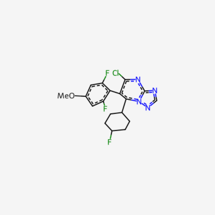 COc1cc(F)c(-c2c(Cl)nc3ncnn3c2C2CCC(F)CC2)c(F)c1